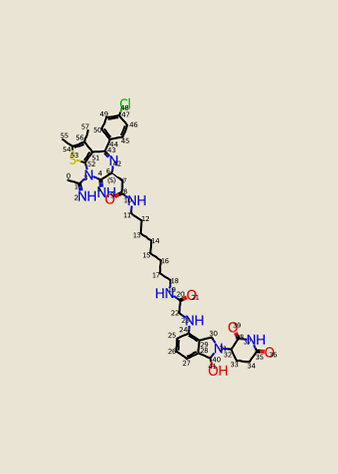 CC(=N)N1C(=N)[C@H](CC(=O)NCCCCCCCCNC(=O)CNc2cccc3c2CN(C2CCC(=O)NC2=O)C3O)N=C(c2ccc(Cl)cc2)c2c1sc(C)c2C